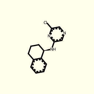 Clc1cncc(N[C@@H]2CCCc3ccccc32)n1